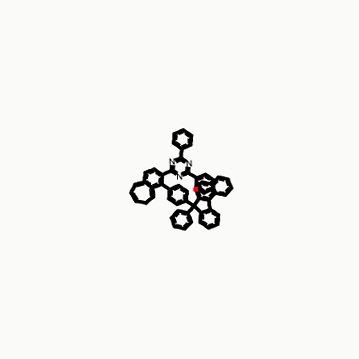 C1=CCC=c2c(-c3ccc(C4(c5ccccc5)c5ccccc5-c5c4ccc4ccccc54)cc3)c(-c3nc(-c4ccccc4)nc(-c4ccccc4)n3)ccc2=C1